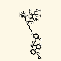 CS(=O)(=O)NCCN(CCCCSc1ccc(Cl)c(COC2(c3cnccc3-c3ccccc3OC3CC3)CC2)c1)C(=O)[C@@H](O)[C@@H](O)[C@H](O)[C@@H](O)CO